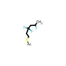 CC(=O)SCCC(F)(F)CC(C)F